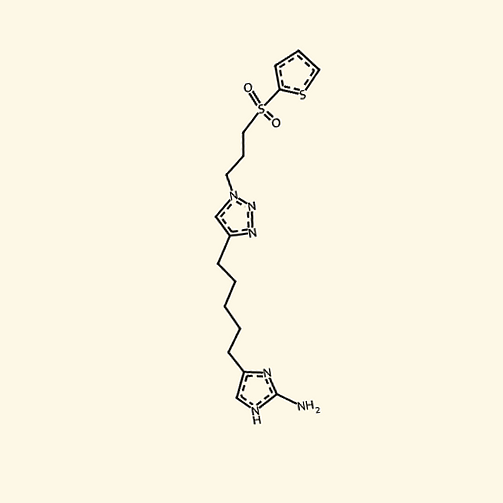 Nc1nc(CCCCCc2cn(CCCS(=O)(=O)c3cccs3)nn2)c[nH]1